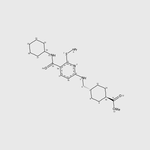 CCCSc1nc(NC[C@H]2CC[C@H](C(=O)OC)CC2)ccc1C(=O)NC1CCCCC1